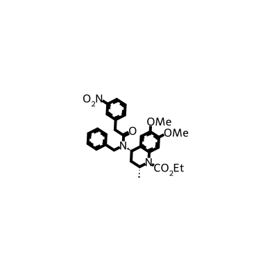 CCOC(=O)N1c2cc(OC)c(OC)cc2[C@@H](N(Cc2ccccc2)C(=O)Cc2cccc([N+](=O)[O-])c2)C[C@H]1C